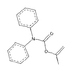 C=C(C)OC(=O)N(c1ccccc1)c1ccccc1